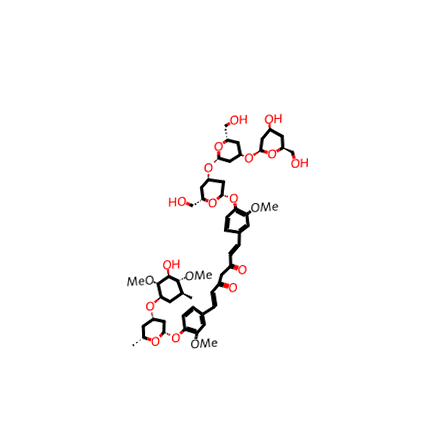 COc1cc(/C=C/C(=O)CC(=O)/C=C/c2ccc(O[C@H]3C[C@@H](O[C@@H]4C[C@H](C)[C@@H](OC)[C@H](O)[C@H]4OC)C[C@@H](C)O3)c(OC)c2)ccc1O[C@H]1C[C@@H](O[C@H]2C[C@@H](O[C@H]3C[C@@H](O)C[C@@H](CO)O3)C[C@@H](CO)O2)C[C@@H](CO)O1